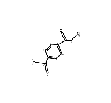 CC(=O)c1ccc(C(=O)CO)cc1